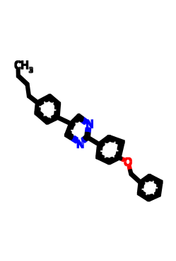 CCCCc1ccc(-c2cnc(-c3ccc(OCc4ccccc4)cc3)nc2)cc1